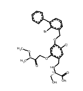 CON(C)C(=O)COc1cc(OCc2cccc(-c3ccccc3)c2Br)c(Cl)cc1CN[C@@H](CO)C(=O)O